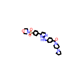 O=C(c1ccc(Nc2nccc(-c3ccc(S(=O)(=O)N4CCOCC4)cc3)n2)cc1)N1CCC(N2CCCC2)CC1